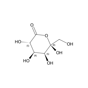 O=C1O[C@](O)(CO)[C@@H](O)[C@@H](O)[C@@H]1O